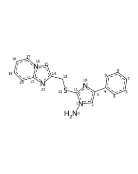 Nn1cc(-c2ccccc2)nc1SCc1cn2ccccc2n1